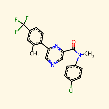 Cc1cc(C(F)(F)F)ccc1-c1cncc(C(=O)N(C)c2ccc(Cl)cc2)n1